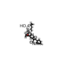 CNC(=O)c1c(-c2ccc(C)cc2)oc2nc(N(CCCC3(C(=O)O)CC3)S(C)(=O)=O)c(C3CC3)cc12